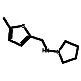 Cc1ccc(CNN2CCCC2)s1